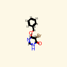 O=c1[nH]cnc(OCc2ccccc2)c1Br